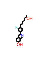 CC(O)CCCC=Cc1ccc(-c2cc3ccc(O)cc3cn2)cc1F